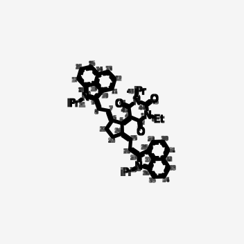 CCN1C(=O)C(=C2/C(=C/C=c3\c4cccc5cccc(c54)n3C(C)C)CC/C2=C\C=c2/c3cccc4cccc(c43)n2C(C)C)C(=O)N(C(C)C)C1=O